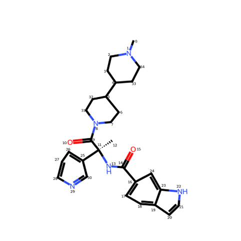 CN1CCC(C2CCN(C(=O)[C@@](C)(NC(=O)c3ccc4cc[nH]c4c3)c3cccnc3)CC2)CC1